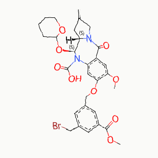 C=C1C[C@H]2[C@H](OC3CCCCO3)N(C(=O)O)c3cc(OCc4cc(CBr)cc(C(=O)OC)c4)c(OC)cc3C(=O)N2C1